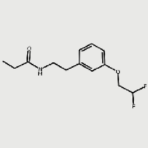 CCC(=O)NCCc1cccc(OCC(F)F)c1